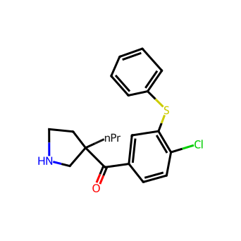 CCCC1(C(=O)c2ccc(Cl)c(Sc3ccccc3)c2)CCNC1